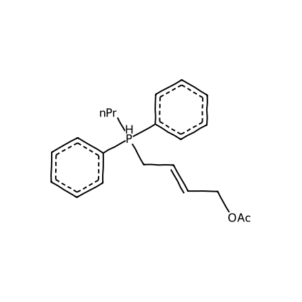 CCC[PH](CC=CCOC(C)=O)(c1ccccc1)c1ccccc1